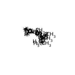 COC(=O)C[C@H](C(=O)N1CCc2c1ccc(OCc1ccc(C3CCC3)c(C(F)(F)F)c1)c2C)N(C)C(=O)OC(C)(C)C